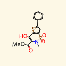 COC(=O)C1=C(O)c2sc(-c3ccccc3)cc2S(=O)(=O)N1C